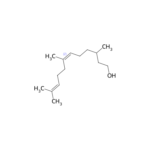 CC(C)=CCC/C(C)=C\CCC(C)CCO